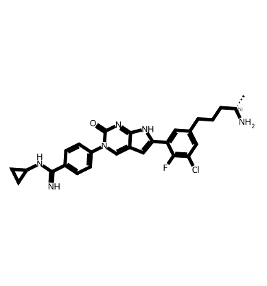 C[C@H](N)CCCc1cc(Cl)c(F)c(-c2cc3cn(-c4ccc(C(=N)NC5CC5)cc4)c(=O)nc3[nH]2)c1